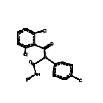 O=C(NF)N(C(=O)c1c(Cl)cccc1Cl)c1ccc(Cl)cc1